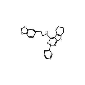 c1ccc(-c2nc(NCCc3ccc4c(c3)OCO4)c3c4c(sc3n2)CCCC4)nc1